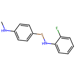 CNc1ccc(SNc2ccccc2F)cc1